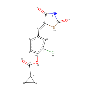 O=C1NC(=O)C(=Cc2ccc(OC(=O)C3CC3)c(Cl)c2)S1